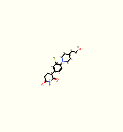 O=C1CCC(c2ccc(N3CCC(CCO)CC3)c(F)c2)C(=O)N1